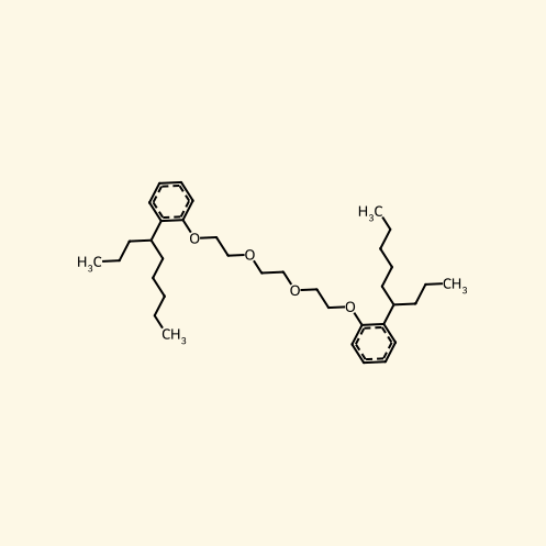 CCCCCC(CCC)c1ccccc1OCCOCCOCCOc1ccccc1C(CCC)CCCCC